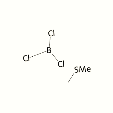 CSC.ClB(Cl)Cl